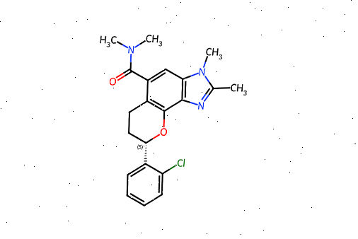 Cc1nc2c3c(c(C(=O)N(C)C)cc2n1C)CC[C@@H](c1ccccc1Cl)O3